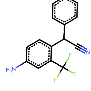 N#CC(c1ccccc1)c1ccc(N)cc1C(F)(F)F